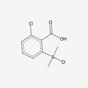 C[Si](C)([O])c1cccc(Cl)c1C(=O)O